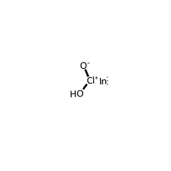 [In].[O-][Cl+]O